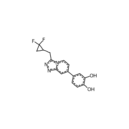 Oc1ccc(-c2ccn3c(CC4CC4(F)F)nnc3c2)cc1O